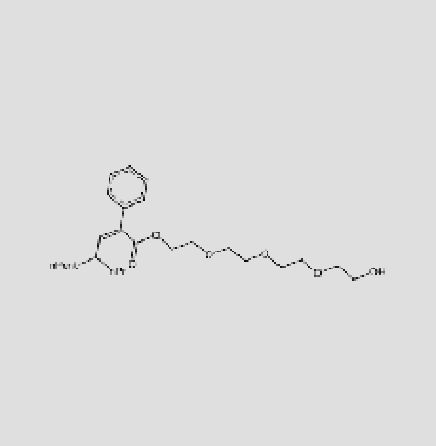 CCCCCC(C=C(C(=O)OCCOCCOCCOCCO)c1ccccc1)CCC